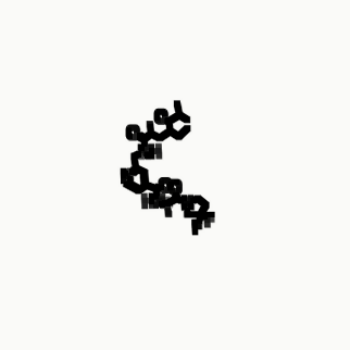 CCC(CC(C)C(=O)NCc1cc(C(=O)N[C@H](C)C(=O)N2CCC(F)(F)C2)ccn1)C(=O)C(C)C